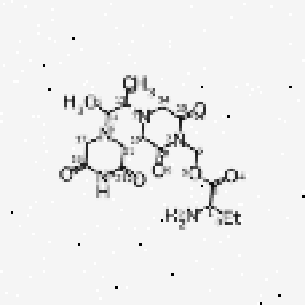 CCC(N)C(=O)OCN1C(=O)CN(C(C)C(C)N2CC(=O)NC(=O)C2)CC1=O